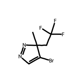 CC1(CC(F)(F)F)N=NC=C1Br